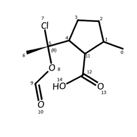 CC1CCC([C@@](C)(Cl)OC=O)C1C(=O)O